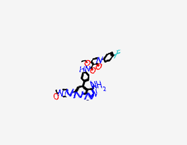 CCOc1ccn(-c2ccc(F)cc2)c(=O)c1C(=O)Nc1ccc(-c2cc(N3CCN(C(C)=O)CC3)nc3c2c(N)nn3C)cc1